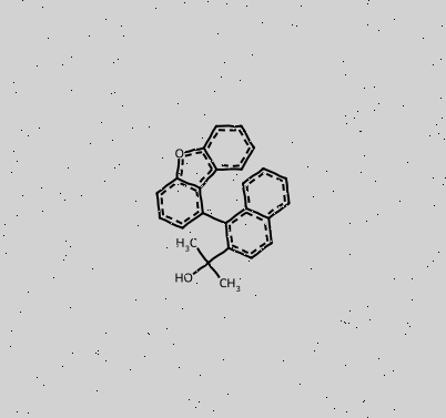 CC(C)(O)c1ccc2ccccc2c1-c1cccc2oc3ccccc3c12